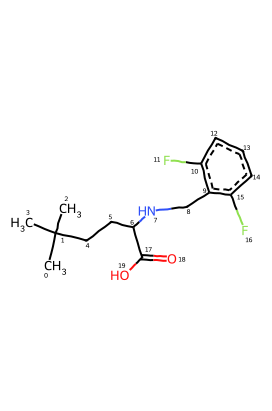 CC(C)(C)CCC(NCc1c(F)cccc1F)C(=O)O